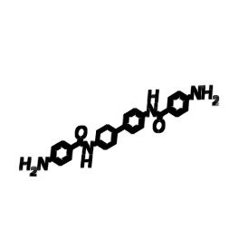 Nc1ccc(C(=O)NC2=CC=C(c3ccc(NC(=O)c4ccc(N)cc4)cc3)CC2)cc1